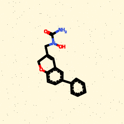 NC(=O)N(O)CC1=Cc2cc(-c3ccccc3)ccc2OC1